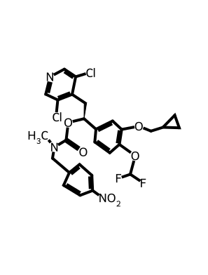 CN(Cc1ccc([N+](=O)[O-])cc1)C(=O)O[C@@H](Cc1c(Cl)cncc1Cl)c1ccc(OC(F)F)c(OCC2CC2)c1